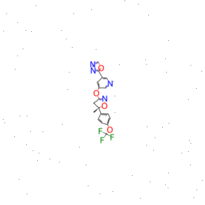 C[C@@]1(c2ccc(OC(F)(F)F)cc2)CC(Oc2cncc(-c3nnco3)c2)=NO1